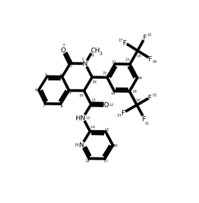 CN1C(=O)c2ccccc2C(C(=O)Nc2ccccn2)C1c1cc(C(F)(F)F)cc(C(F)(F)F)c1